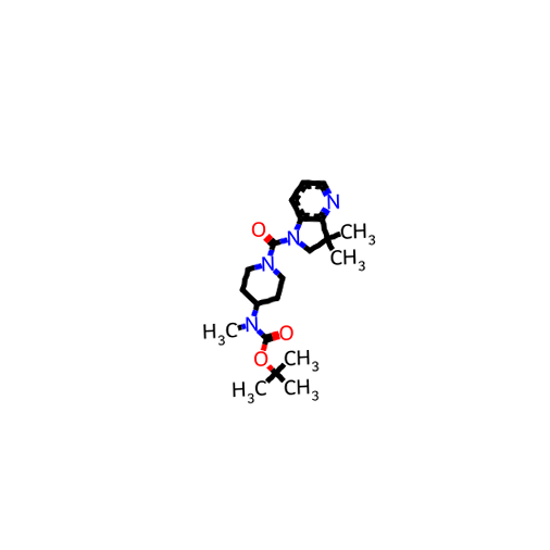 CN(C(=O)OC(C)(C)C)C1CCN(C(=O)N2CC(C)(C)c3ncccc32)CC1